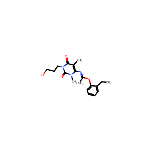 CCc1ccccc1O/C(C)=N/c1c(C)c(=O)n(CCCO)c(=O)n1C